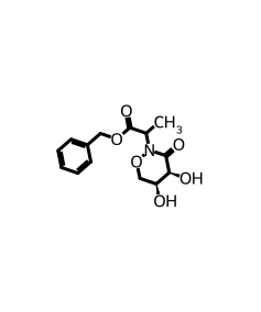 CC(C(=O)OCc1ccccc1)N1OC[C@H](O)[C@H](O)C1=O